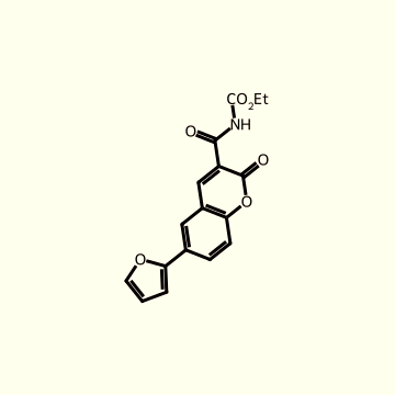 CCOC(=O)NC(=O)c1cc2cc(-c3ccco3)ccc2oc1=O